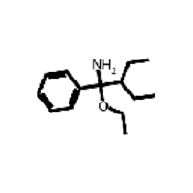 CCOC(N)([C](CC)CC)c1ccccc1